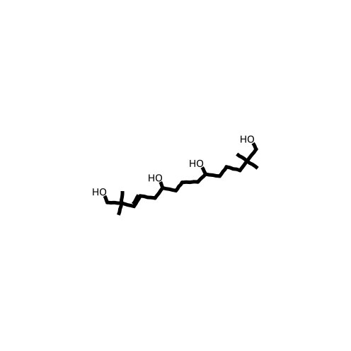 CC(C)(C=CCC(O)CCCC(O)CCCC(C)(C)CO)CO